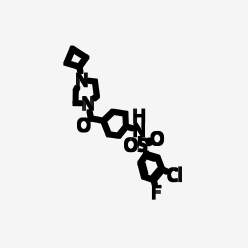 O=C(C1CCC(NS(=O)(=O)c2ccc(F)c(Cl)c2)CC1)N1CCN(C2CCC2)CC1